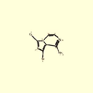 CCc1nc(Br)c2c(N)nccn12